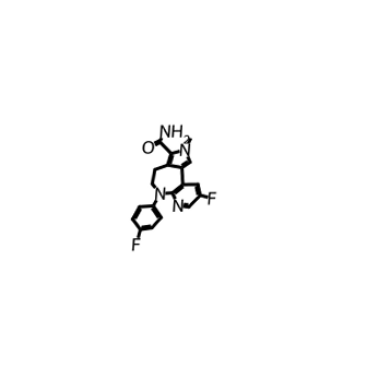 Cn1cc2c(c1C(N)=O)CCN(c1ccc(F)cc1)c1ncc(F)cc1-2